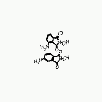 Nc1ccc2c(c1)C(=O)N(O)C2=O.Nc1cccc2c1C(=O)N(O)C2=O